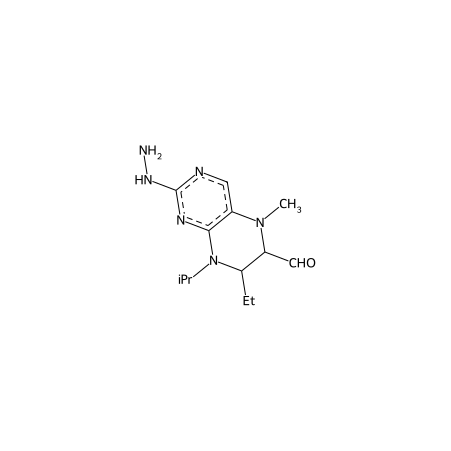 CCC1C(C=O)N(C)c2cnc(NN)nc2N1C(C)C